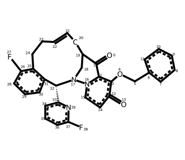 O=C1c2c(OCc3ccccc3)c(=O)ccn2N2CC1C/C=C/CCc1c(F)cccc1[C@H]2c1cccc(F)n1